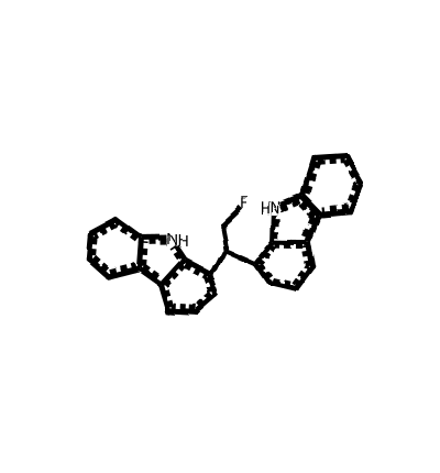 FCC(c1cccc2c1[nH]c1ccccc12)c1cccc2c1[nH]c1ccccc12